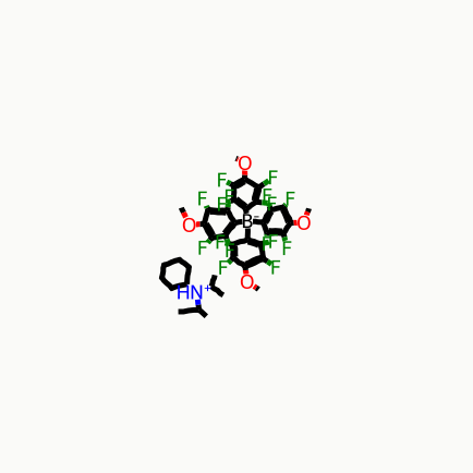 CC(C)[NH+](C(C)C)C1CCCCC1.COc1c(F)c(F)c([B-](c2c(F)c(F)c(OC)c(F)c2F)(c2c(F)c(F)c(OC)c(F)c2F)c2c(F)c(F)c(OC)c(F)c2F)c(F)c1F